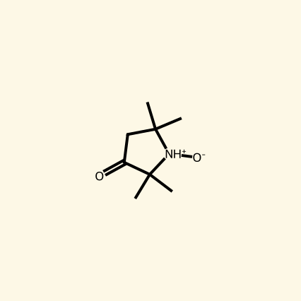 CC1(C)CC(=O)C(C)(C)[NH+]1[O-]